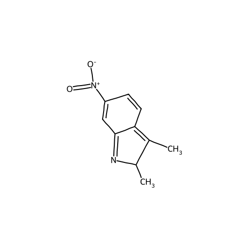 CC1=c2ccc([N+](=O)[O-])cc2=NC1C